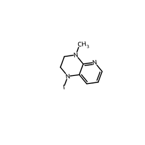 CN1CCN(I)c2cccnc21